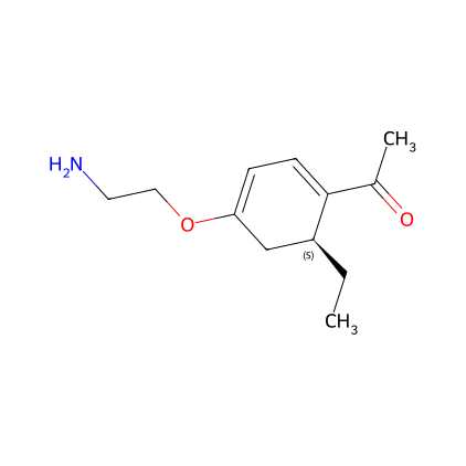 CC[C@H]1CC(OCCN)=CC=C1C(C)=O